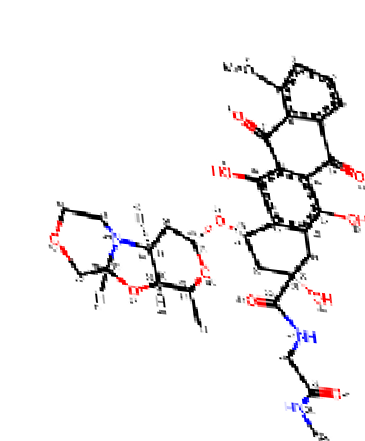 COc1cccc2c1C(=O)c1c(O)c3c(c(O)c1C2=O)C[C@@](O)(C(=O)NCC(=O)NC(C)C)C[C@@H]3O[C@H]1C[C@H]2[C@H](O[C@@H]3COCCN32)[C@H](C)O1